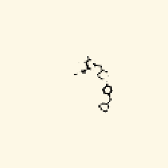 Cc1nc(CC2CCN(c3ccc(CC4CCCCC4)cc3)CC2)nc(C(=O)NCC(=O)O)c1O